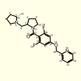 C[C@H]1CCCN1CC1CCCN1C(=O)c1c(F)cc(OCc2ccccn2)cc1F